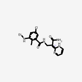 CCNc1cc(Cl)cc(C(=O)NC/C(C(N)=O)=C2\N=CC=CN2)c1C